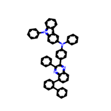 c1ccc(-c2ccccc2-c2cccc3nc(-c4ccc(N(c5ccccc5)c5ccc6c(c5)c5ccccc5n6-c5ccccc5)cc4)c(-c4ccccc4)nc23)cc1